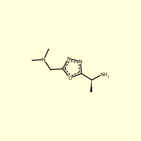 C[C@H](N)c1nnc(CN(C)C)o1